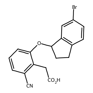 N#Cc1cccc(OC2CCc3ccc(Br)cc32)c1CC(=O)O